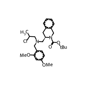 COc1ccc(CN(CC(C)Cl)C[C@H]2Cc3ccccc3CN2C(=O)OC(C)(C)C)c(OC)c1